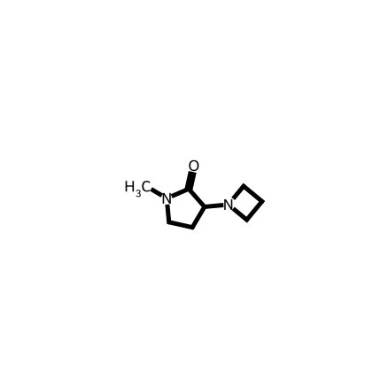 CN1CCC(N2CCC2)C1=O